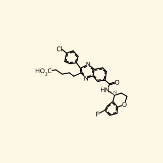 O=C(O)CCCCc1nc2cc(C(=O)N[C@H]3CCOc4ccc(F)cc43)ccc2nc1-c1ccc(Cl)cc1